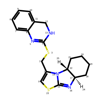 C1=C(CSC2=Nc3ccccc3CN2)N2C(=N[C@@H]3CCCC[C@H]32)S1